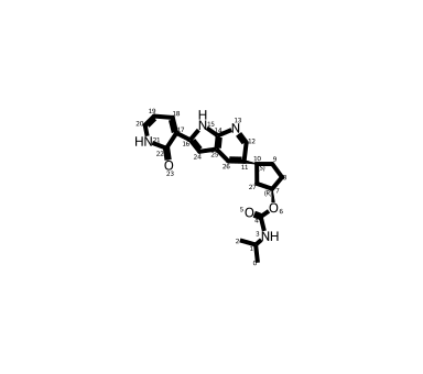 CC(C)NC(=O)O[C@@H]1CC[C@H](c2cnc3[nH]c(-c4ccc[nH]c4=O)cc3c2)C1